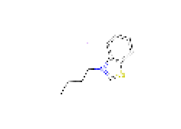 CCCCC[n+]1csc2ccccc21.[I-]